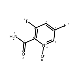 NC(=O)c1c(F)[c]c(F)c[n+]1[O-]